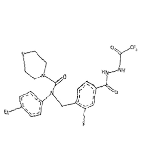 CCc1ccc(N(Cc2ccc(C(=O)NNC(=O)C(F)(F)F)cc2F)C(=O)N2CCSCC2)cc1